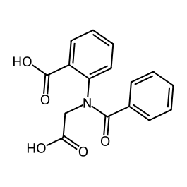 O=C(O)CN(C(=O)c1ccccc1)c1ccccc1C(=O)O